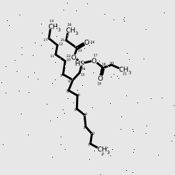 CCCCCCCCC(CCCCCC)C[SH](OC(=O)CC)OC(=O)CC